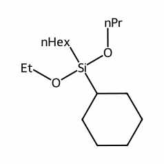 CCCCCC[Si](OCC)(OCCC)C1CCCCC1